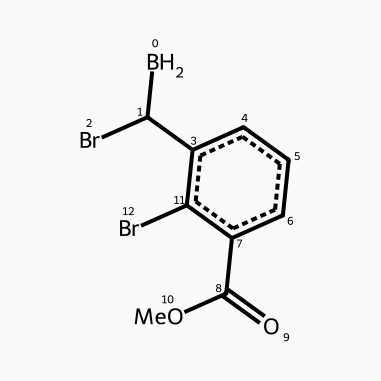 BC(Br)c1cccc(C(=O)OC)c1Br